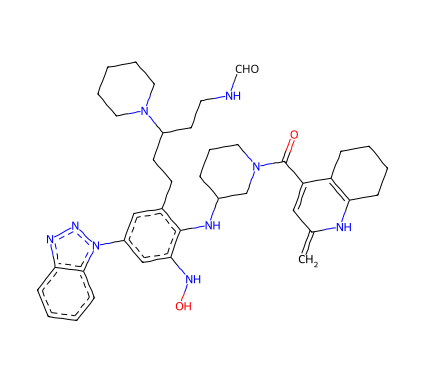 C=C1C=C(C(=O)N2CCCC(Nc3c(CCC(CCNC=O)N4CCCCC4)cc(-n4nnc5ccccc54)cc3NO)C2)C2=C(CCCC2)N1